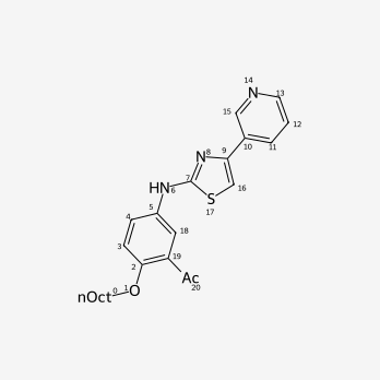 CCCCCCCCOc1ccc(Nc2nc(-c3cccnc3)cs2)cc1C(C)=O